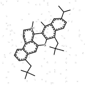 Cc1c2c(c(CC(C)(C)C)c3ccc(C(C)C)cc13)Sc1cc3c(CC(C)(C)C)cccc3c3cc[n+](C)c-2c13